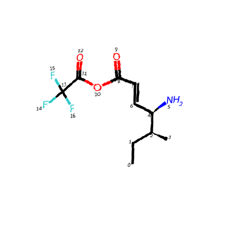 CC[C@H](C)[C@H](N)/C=C/C(=O)OC(=O)C(F)(F)F